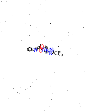 C[C@@H]1CN(c2ncc(C(F)(F)F)cn2)[C@@H](C)CN1C(=O)OC1(C)CC2(CN(Cc3ccccc3)C2)C1